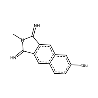 CN1C(=N)c2cc3ccc(C(C)(C)C)cc3cc2C1=N